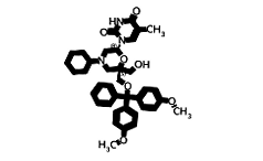 COc1ccc(C(OC[C@@]2(CO)CN(C3CCCCC3)C[C@H](n3cc(C)c(=O)[nH]c3=O)O2)(c2ccccc2)c2ccc(OC)cc2)cc1